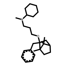 CN(CCCOC1(Cc2ccccc2)CC2CCC1(C)C2(C)C)C1CCCCC1